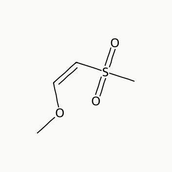 CO/C=C\S(C)(=O)=O